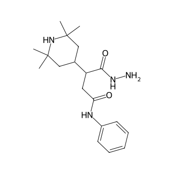 CC1(C)CC(C(CC(=O)Nc2ccccc2)C(=O)NN)CC(C)(C)N1